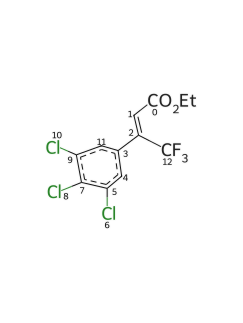 CCOC(=O)C=C(c1cc(Cl)c(Cl)c(Cl)c1)C(F)(F)F